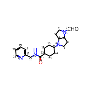 O=CN1CCC2C1CCN2C1CCC(C(=O)NCc2ccccn2)CC1